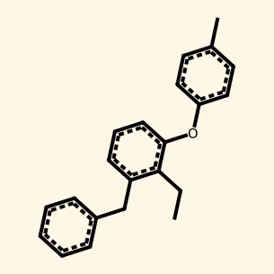 CCc1c(Cc2ccccc2)cccc1Oc1ccc(C)cc1